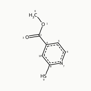 COC(=O)c1ccnc(S)c1